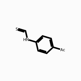 CC(=O)c1ccc(NC=S)cc1